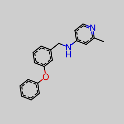 Cc1cc(NCc2cccc(Oc3ccccc3)c2)ccn1